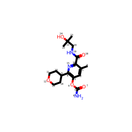 Cc1cc(OC(N)=O)c(C2CCOCC2)nc1C(=O)NCC(C)(C)O